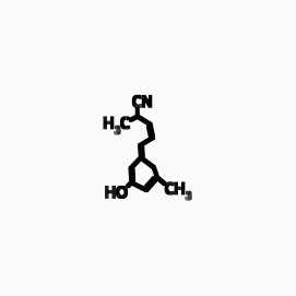 CC1=CC(O)=C/C(=C/C=C\C(C)C#N)C1